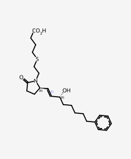 O=C(O)CCCSCCN1C(=O)CC[C@@H]1/C=C/[C@H](O)CCCCCc1ccccc1